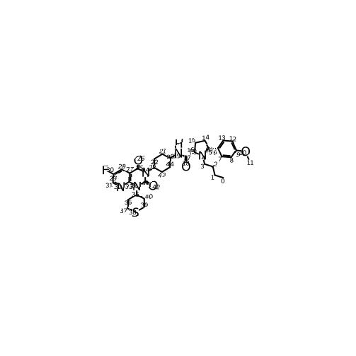 CCCCN1[C@@H](c2ccc(OC)cc2)CC[C@H]1C(=O)NC1CCC(n2c(=O)c3cc(F)cnc3n(C3CCSCC3)c2=O)CC1